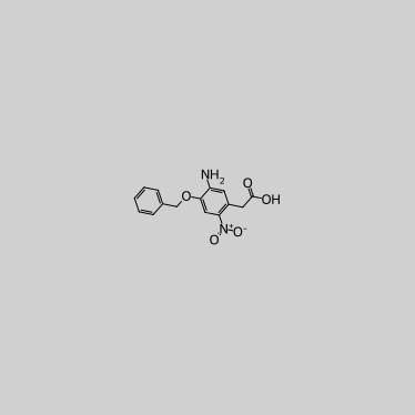 Nc1cc(CC(=O)O)c([N+](=O)[O-])cc1OCc1ccccc1